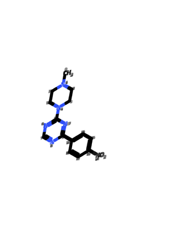 CN1CCN(c2ncnc(-c3ccc([N+](=O)[O-])cc3)n2)CC1